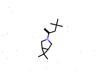 C=C(CC(C)(C)C)N1CC2C(C1)C2(C)C